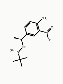 C[C@H](N[S@@+]([O-])C(C)(C)C)c1ccc(N)c([N+](=O)[O-])c1